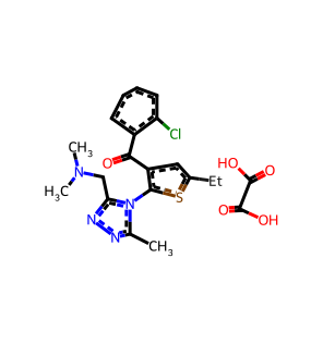 CCc1cc(C(=O)c2ccccc2Cl)c(-n2c(C)nnc2CN(C)C)s1.O=C(O)C(=O)O